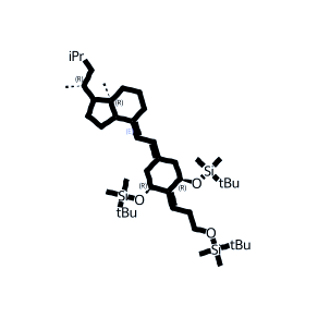 CC(C)C[C@@H](C)C1CCC2/C(=C/C=C3C[C@@H](O[Si](C)(C)C(C)(C)C)C(=CCCO[Si](C)(C)C(C)(C)C)[C@H](O[Si](C)(C)C(C)(C)C)C3)CCC[C@@]21C